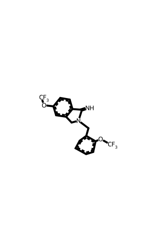 N=C1c2ccc(OC(F)(F)F)cc2CN1Cc1ccccc1OC(F)(F)F